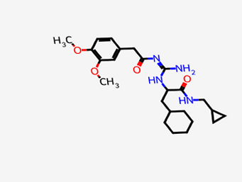 COc1ccc(CC(=O)N=C(N)NC(CC2CCCCC2)C(=O)NCC2CC2)cc1OC